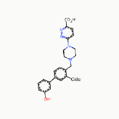 COc1cc(-c2cccc(O)c2)ccc1CN1CCN(c2ccc(C(=O)O)nn2)CC1